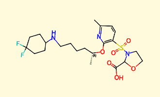 Cc1ccc(S(=O)(=O)N2CCOC2C(=O)O)c(O[C@H](C)CCCCNC2CCC(F)(F)CC2)n1